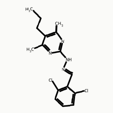 CCCc1c(C)nc(NN=Cc2c(Cl)cccc2Cl)nc1C